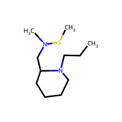 CCCN1CCCCC1CN(C)SC